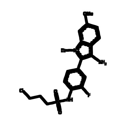 CCn1c(-c2ccc(NS(=O)(=O)CCCCl)c(F)c2)c(N)c2ccc(OC)cc21